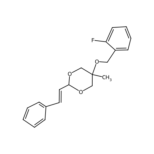 CC1(OCc2ccccc2F)COC(/C=C/c2ccccc2)OC1